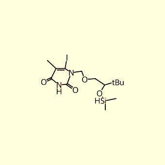 Cc1c(I)n(COCC(O[SiH](C)C)C(C)(C)C)c(=O)[nH]c1=O